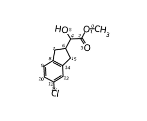 COC(=O)C(O)C1Cc2ccc(Cl)cc2C1